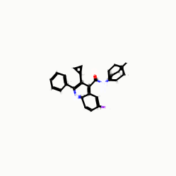 CC12CCC(NC(=O)c3c(C4CC4)c(-c4ccccc4)nc4ccc(I)cc34)(CC1)CC2